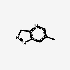 Cc1cnc2c(c1)N=NC2